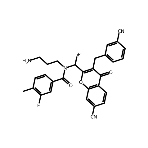 Cc1ccc(C(=O)N(CCCN)C(c2oc3cc(C#N)ccc3c(=O)c2Cc2cccc(C#N)c2)C(C)C)cc1F